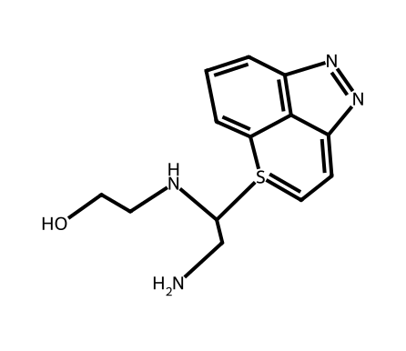 NCC(NCCO)S1=CC=C2N=Nc3cccc1c32